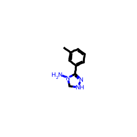 Cc1cccc(C2=NNCN2N)c1